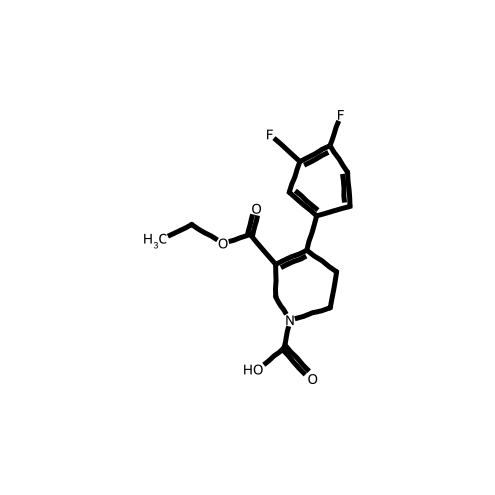 CCOC(=O)C1=C(c2ccc(F)c(F)c2)CCN(C(=O)O)C1